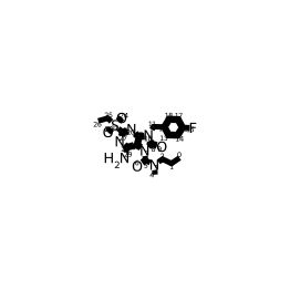 CCCN(C)C(=O)n1c(=O)n(Cc2ccc(F)cc2)c2nc(S(=O)(=O)CC)nc(N)c21